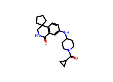 O=C1NCC2(CCCC2)c2ccc(NC3CCN(C(=O)C4CC4)CC3)cc21